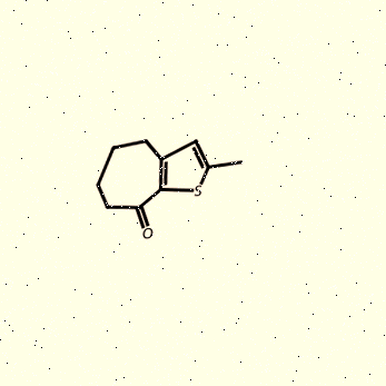 Cc1cc2c(s1)C(=O)CCCC2